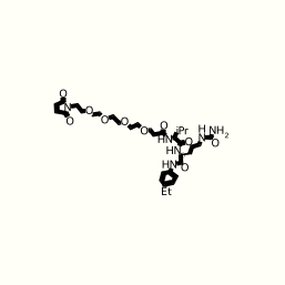 CCc1ccc(NC(=O)[C@H](CCCNC(N)=O)NC(=O)C(NC(=O)CCOCCOCCOCCOCCN2C(=O)C=CC2=O)C(C)C)cc1